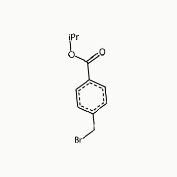 CC(C)OC(=O)c1ccc(CBr)cc1